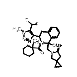 COC1(CN2CC3(CC3)CC2=O)c2ccccc2CC(c2nnn(C)c2C(F)F)N1C(=O)C1(C)CCCCC1